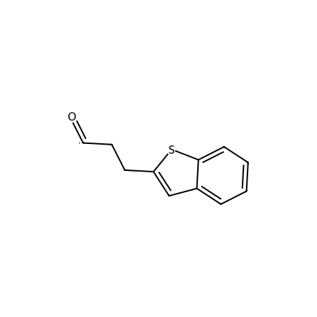 O=[C]CCc1cc2ccccc2s1